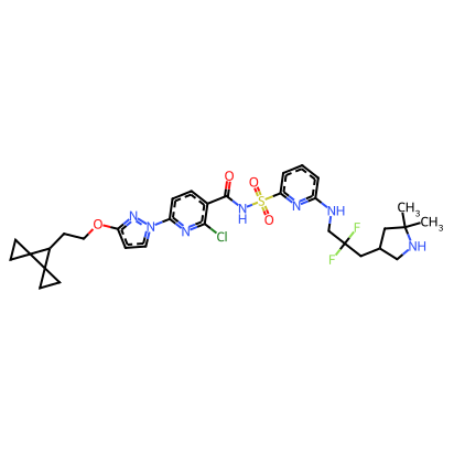 CC1(C)CC(CC(F)(F)CNc2cccc(S(=O)(=O)NC(=O)c3ccc(-n4ccc(OCCC5C6(CC6)C56CC6)n4)nc3Cl)n2)CN1